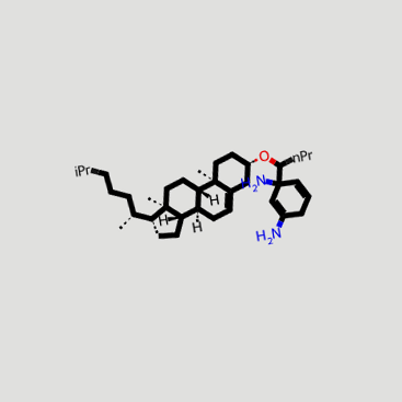 CCCC(O[C@H]1CC[C@@]2(C)C(=CC[C@H]3[C@@H]4CC[C@H]([C@H](C)CCCC(C)C)[C@@]4(C)CC[C@@H]32)C1)C1(N)C=CCC(N)=C1